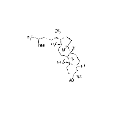 CC[C@]1(O)CC[C@@]2(C)[C@@H](CC[C@@H]3[C@@H]2CC[C@]2(C)[C@@H](C(C)CCC(O)C(F)(F)F)CC[C@@H]32)C1